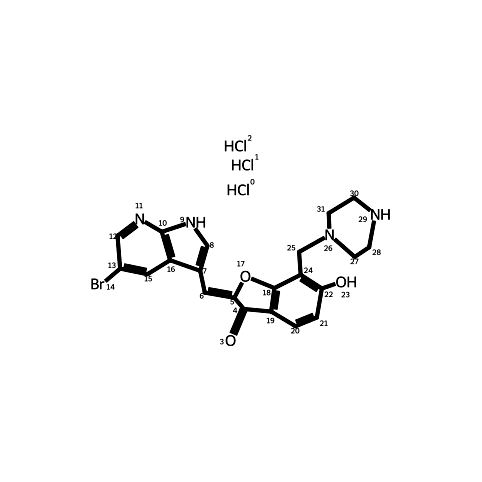 Cl.Cl.Cl.O=C1/C(=C/c2c[nH]c3ncc(Br)cc23)Oc2c1ccc(O)c2CN1CCNCC1